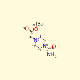 CC(C)(C)OC(=O)CN1CCN(C(N)=O)CC1